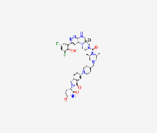 CCC12CNc3nnc(-c4cc(F)cc(F)c4O)cc3N1CCN(C(=O)N1[C@H](C)CN(CC3CCN(c4ccc5c(c4)C(=O)N(C4CCC(=O)NC4=O)C5)CC3)C[C@@H]1C)C2